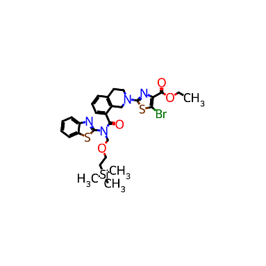 CCOC(=O)c1nc(N2CCc3cccc(C(=O)N(COCC[Si](C)(C)C)c4nc5ccccc5s4)c3C2)sc1Br